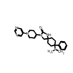 CN(C)C1(c2ccccc2)CCC2(CC1)CN(C1CCN(c3cncnc3)CC1)C(=O)N2